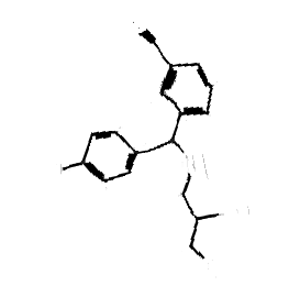 N#Cc1cccc(C(NCC(O)CCl)c2ccc(Cl)cc2)c1